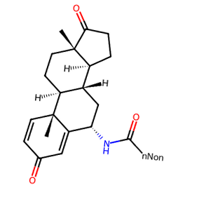 CCCCCCCCCC(=O)N[C@H]1C[C@@H]2[C@H](CC[C@]3(C)C(=O)CC[C@@H]23)[C@@]2(C)C=CC(=O)C=C12